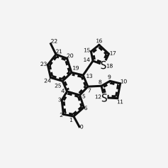 Cc1ccc2c(c1)c(-c1cccs1)c(-c1cccs1)c1cc(C)ccc12